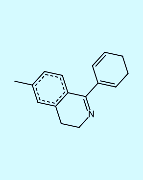 Cc1ccc2c(c1)CCN=C2C1=CCCC=C1